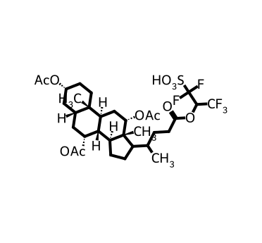 CC(=O)O[C@@H]1CC[C@@]2(C)[C@@H](C1)C[C@@H](OC(C)=O)[C@@H]1[C@@H]2C[C@H](OC(C)=O)[C@]2(C)C(C(C)CCC(=O)OC(C(F)(F)F)C(F)(F)S(=O)(=O)O)CC[C@@H]12